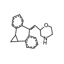 C(=C1c2ccccc2C2CC2c2ccccc21)C1CNCCO1